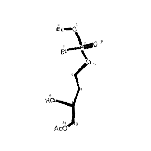 CCOP(=O)(CC)OCCC(O)COC(C)=O